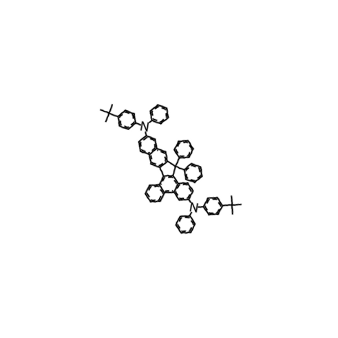 CC(C)(C)c1ccc(N(c2ccccc2)c2ccc3cc4c(cc3c2)C(c2ccccc2)(c2ccccc2)c2c-4c3ccccc3c3cc(N(c4ccccc4)c4ccc(C(C)(C)C)cc4)ccc23)cc1